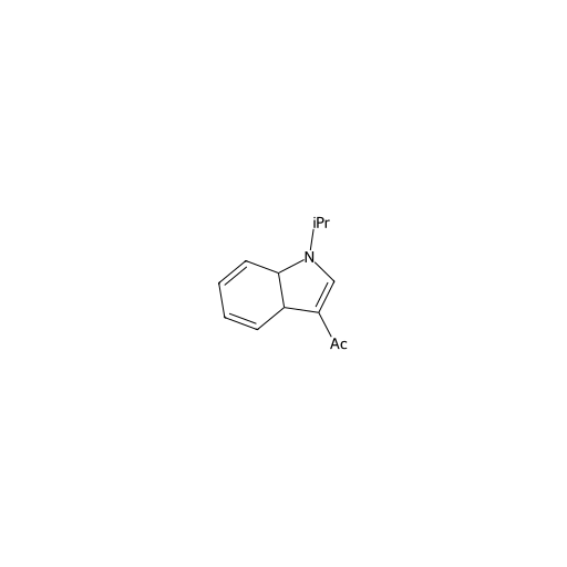 CC(=O)C1=CN(C(C)C)C2C=CC=CC12